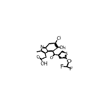 CC1=C(CC(=O)O)C2=C(C(=O)c3csc(OC(F)F)c3)C(O)=C(Cl)CC2=N1